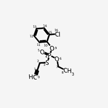 C#CCSP(=O)(OCC)Oc1ccccc1Cl